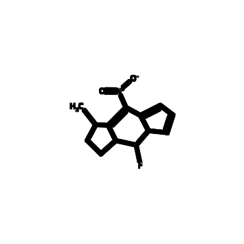 CC1CCC2C1=C([N+](=O)[O-])C1=CC=CC1C2F